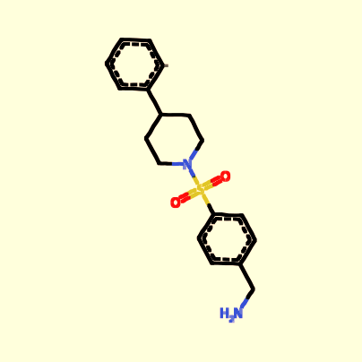 NCc1ccc(S(=O)(=O)N2CCC(c3[c]cccc3)CC2)cc1